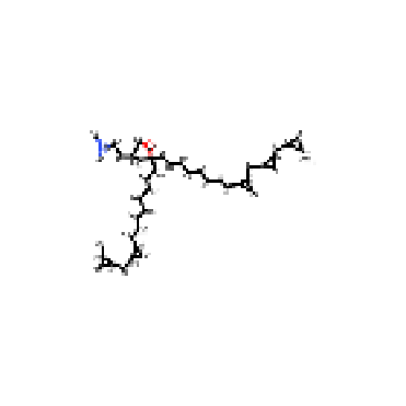 CCC1CC1CC1CC1CC1CC1CCCCCCCCC1(CCCCCCCCC2CC2CC2CC2C)CC(CCN(C)C)CO1